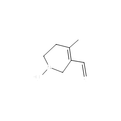 CC1=C(C=O)CN(P)CC1